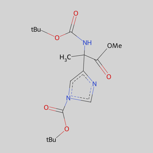 COC(=O)C(C)(NC(=O)OC(C)(C)C)c1cn(C(=O)OC(C)(C)C)cn1